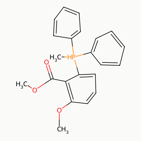 COC(=O)c1c(OC)cccc1[PH](C)(c1ccccc1)c1ccccc1